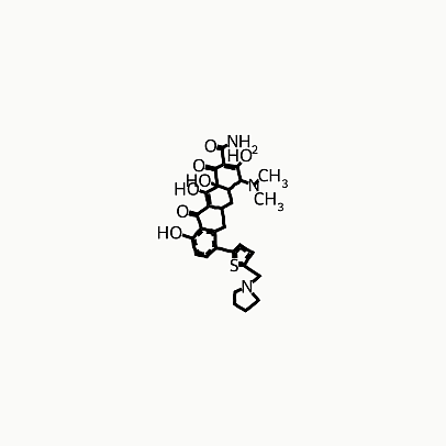 CN(C)C1C(O)=C(C(N)=O)C(=O)C2(O)C(O)=C3C(=O)c4c(O)ccc(-c5ccc(CN6CCCC6)s5)c4CC3CC12